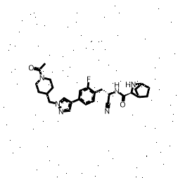 CC(=O)N1CCC(Cn2cc(-c3ccc(C[C@@H](C#N)NC(=O)[C@H]4NC5CCC4C5)c(F)c3)cn2)CC1